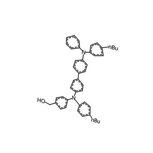 CCCCc1ccc(N(c2ccccc2)c2ccc(-c3ccc(N(c4ccc(CO)cc4)c4ccc(CCCC)cc4)cc3)cc2)cc1